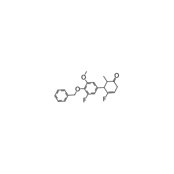 COc1cc(C2C(F)=CCC(=O)C2C)cc(F)c1OCc1ccccc1